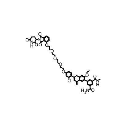 C=C1C=C(c2ccc(OCCOCCOCCOCCOc3cccc4c3C(=O)N(C3CCC(=O)NC3=O)C4=O)cc2Cl)Cc2cc(OCC)c(-c3cc(C(N)=O)cc(C(=O)NC)c3)cc21